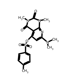 Cc1ccc(S(=O)(=O)Oc2cc(N(C)C)nc3c2c(=O)n(C)c(=O)n3C)cc1